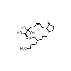 CCCC[C@@H](CF)C/C=C/[C@H]1CCC(=O)[C@@H]1C/C=C\CCC(O)(O)C(=O)O